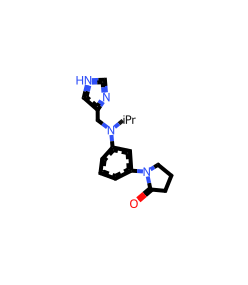 CC(C)N(Cc1c[nH]cn1)c1cccc(N2CCCC2=O)c1